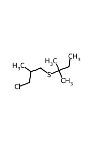 CCC(C)(C)SCC(C)CCl